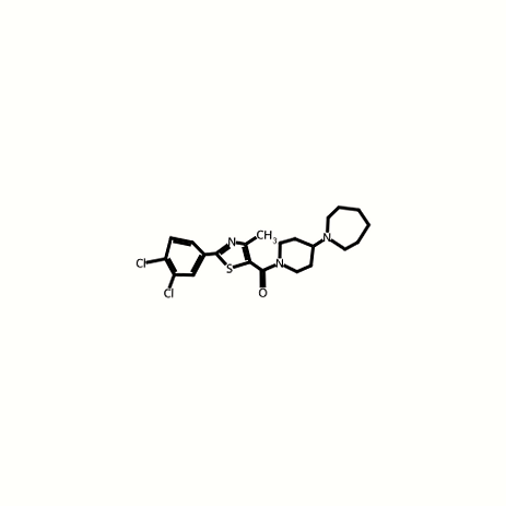 Cc1nc(-c2ccc(Cl)c(Cl)c2)sc1C(=O)N1CCC(N2CCCCCC2)CC1